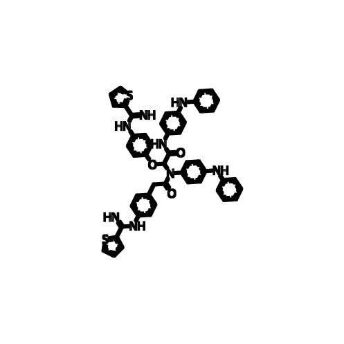 N=C(Nc1ccc(CC(=O)N(c2ccc(Nc3ccccc3)cc2)C(Oc2ccc(NC(=N)c3cccs3)cc2)C(=O)Nc2ccc(Nc3ccccc3)cc2)cc1)c1cccs1